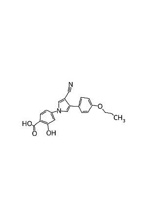 CCCOc1ccc(-c2cn(-c3ccc(C(=O)O)c(O)c3)cc2C#N)cc1